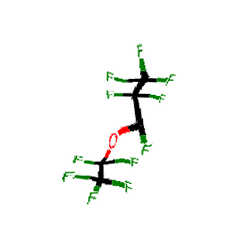 FC(OC(F)(F)C(F)(F)F)C(F)(F)C(F)(F)F